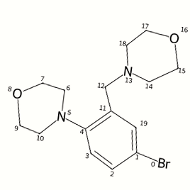 Brc1ccc(N2CCOCC2)c(CN2CCOCC2)c1